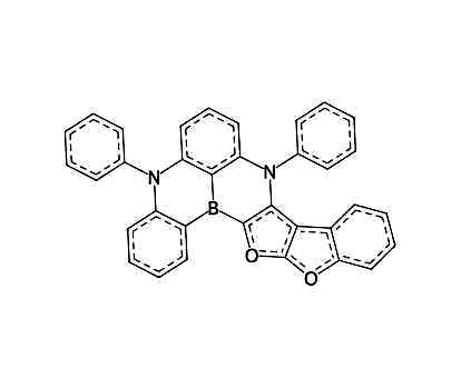 c1ccc(N2c3ccccc3B3c4oc5oc6ccccc6c5c4N(c4ccccc4)c4cccc2c43)cc1